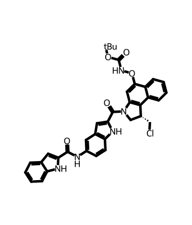 CC(C)(C)OC(=O)NOc1cc2c(c3ccccc13)[C@H](CCl)CN2C(=O)c1cc2cc(NC(=O)c3cc4ccccc4[nH]3)ccc2[nH]1